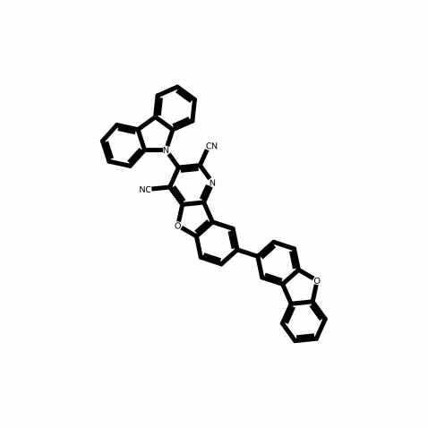 N#Cc1nc2c(oc3ccc(-c4ccc5oc6ccccc6c5c4)cc32)c(C#N)c1-n1c2ccccc2c2ccccc21